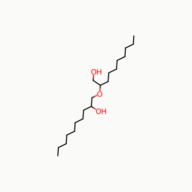 CCCCCCCCC(O)COC(CO)CCCCCCCC